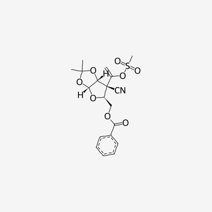 C=C(OS(C)(=O)=O)[C@]1(C#N)[C@@H](COC(=O)c2ccccc2)O[C@@H]2OC(C)(C)O[C@@H]21